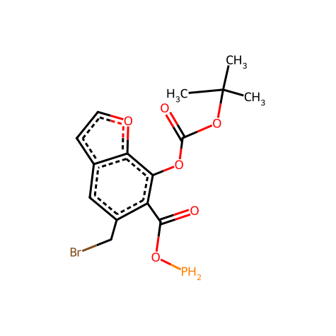 CC(C)(C)OC(=O)Oc1c(C(=O)OP)c(CBr)cc2ccoc12